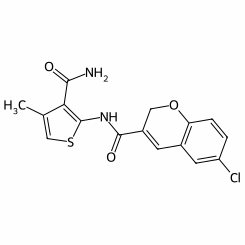 Cc1csc(NC(=O)C2=Cc3cc(Cl)ccc3OC2)c1C(N)=O